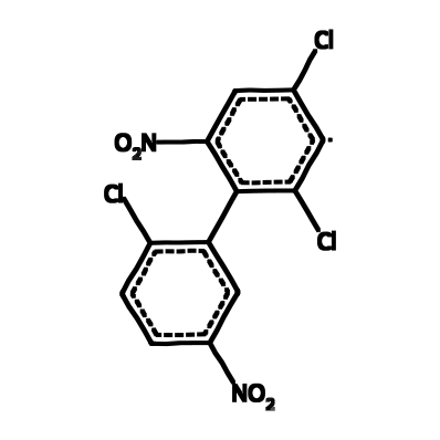 O=[N+]([O-])c1ccc(Cl)c(-c2c(Cl)[c]c(Cl)cc2[N+](=O)[O-])c1